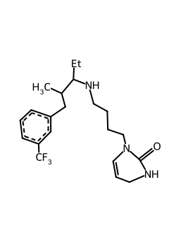 CCC(NCCCCN1C=CCNC1=O)C(C)Cc1cccc(C(F)(F)F)c1